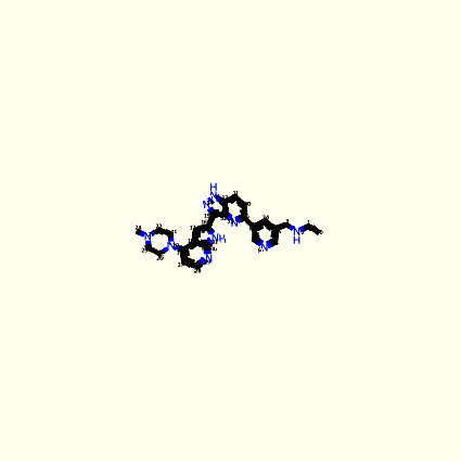 CCNCc1cncc(-c2ccc3[nH]nc(-c4cc5c(N6CCN(C)CC6)ccnc5[nH]4)c3n2)c1